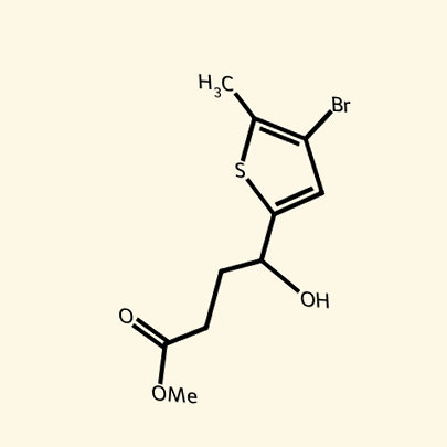 COC(=O)CCC(O)c1cc(Br)c(C)s1